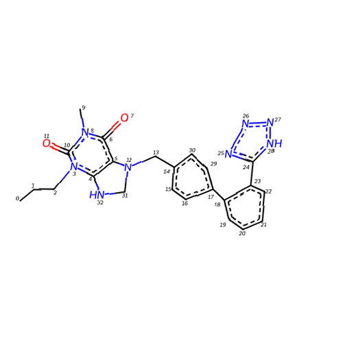 CCCn1c2c(c(=O)n(C)c1=O)N(Cc1ccc(-c3ccccc3-c3nnn[nH]3)cc1)CN2